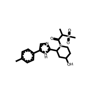 Cc1ccc(-c2cnc(C3CC(O)CCN3C(=O)C(C)S(C)(=O)=O)[nH]2)cc1